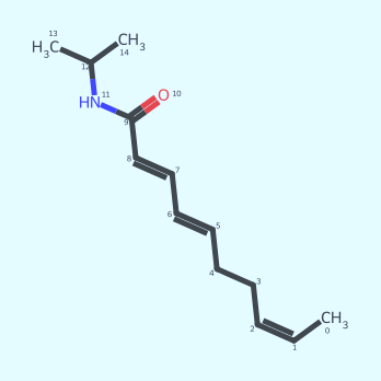 C/C=C\CC/C=C/C=C/C(=O)NC(C)C